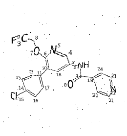 O=C(Nc1cnc(OCC(F)(F)F)c(-c2ccc(Cl)cc2)c1)c1ccncc1